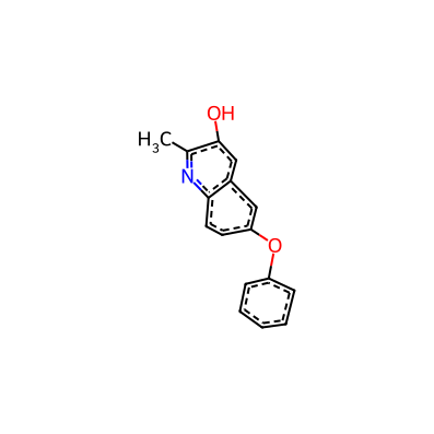 Cc1nc2ccc(Oc3ccccc3)cc2cc1O